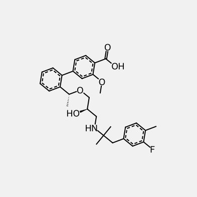 COc1cc(-c2ccccc2[C@@H](C)OC[C@H](O)CNC(C)(C)Cc2ccc(C)c(F)c2)ccc1C(=O)O